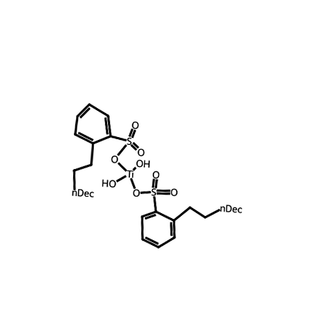 CCCCCCCCCCCCc1ccccc1S(=O)(=O)[O][Ti]([OH])([OH])[O]S(=O)(=O)c1ccccc1CCCCCCCCCCCC